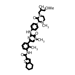 COCC(C)CN1CCN(C)[C@H](c2ccc(Nc3nc(-c4cccc(NC(=O)c5cc6c(s5)CCCC6)c4C)cn(C)c3=O)cc2)C1=O